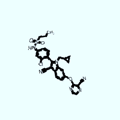 CCCS(=O)(=O)Nc1ccc(-c2c(C#N)c3ccc(Oc4nccnc4C#N)cc3n2CC2CC2)c(Cl)c1